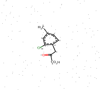 Cc1ccc(CC(=O)C(=O)O)c(Cl)c1